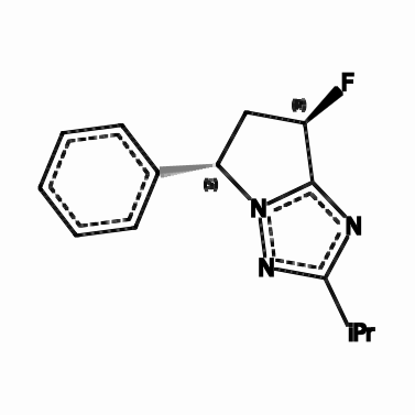 CC(C)c1nc2n(n1)[C@H](c1ccccc1)C[C@H]2F